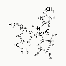 COc1ccc(CN(c2nc(C)ns2)S(=O)(=O)c2cc(F)c(F)cc2F)c(OC)c1